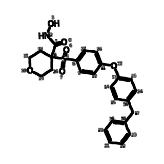 O=C(NO)C1(S(=O)(=O)c2ccc(Oc3ccc(Cc4ccccc4)cc3)cc2)CCOCC1